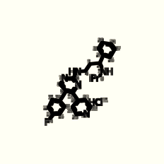 CC(C)NC(CCNc1ncc(-c2ccc(F)cc2)c(-c2ccncc2)n1)c1ccccc1.Cl